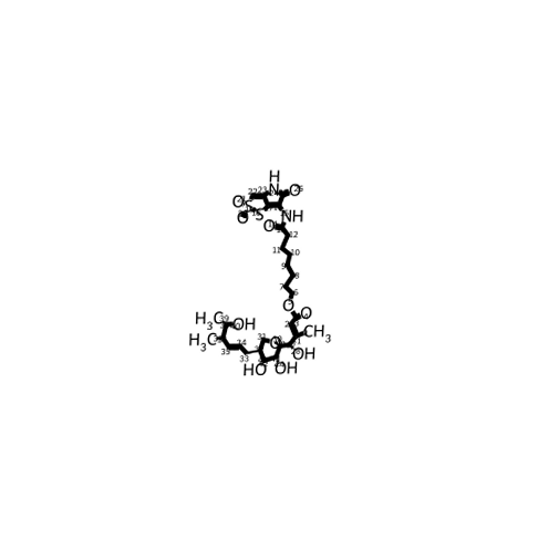 C/C(=C\C(=O)OCCCCCCCC(=O)NC1=C2SS(=O)(=O)C=C2NC1=O)[C@@H](O)[C@@H]1OC[C@H](C/C=C/[C@@H](C)[C@H](C)O)[C@@H](O)[C@H]1O